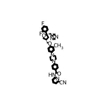 Cc1cc(N2CCN(c3ccc(C(=O)Nc4cccc(C#N)n4)cc3)CC2)ccc1OC[C@@H]1CO[C@@](Cn2cncn2)(c2ccc(F)cc2F)C1